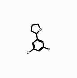 Fc1cc(Cl)cc([C]2CCCO2)c1